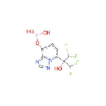 OB(O)Oc1ccc(C(O)(C(F)F)C(F)F)n2ncnc12